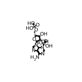 NC1=C2N=CN([C@@H]3O[C@H](COP(=O)(O)O)[C@@H](O)[C@H]3O)C2N(P(=O)(O)O)C=N1